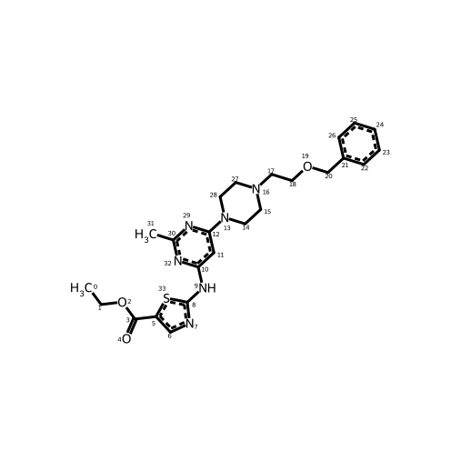 CCOC(=O)c1cnc(Nc2cc(N3CCN(CCOCc4ccccc4)CC3)nc(C)n2)s1